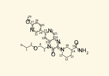 CCCOCCn1c(=O)c(N2CCCC(C(N)=O)C2)nc2cnc(-c3ccc(OC)nc3)cc21